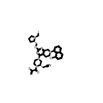 C=C(F)C(=O)N1CCN(c2nc(OC[C@@H]3CCCN3CI)nc3c2CCN(c2cccc4cccc(Cl)c24)C3)C[C@@H]1CC#N